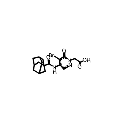 O=C(O)Cn1ncc(NC(=O)C23CC4CC(CC(C4)C2)C3)c(Br)c1=O